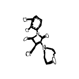 O=C1C(Cl)=C(N2CCOCC2)C(=O)N1c1cccc(Cl)c1Cl